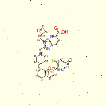 O=C(O)c1ccc2nc(CN3CCC(c4cccc5c4O[C@@H](c4ncc(Cl)cc4F)C=C5)CC3)n(C[C@@H]3CCO3)c2n1